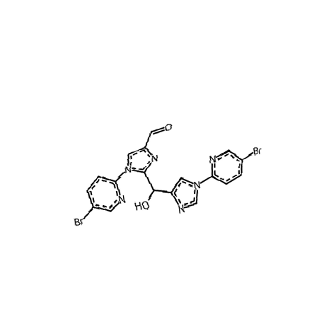 O=Cc1cn(-c2ccc(Br)cn2)c(C(O)c2cn(-c3ccc(Br)cn3)cn2)n1